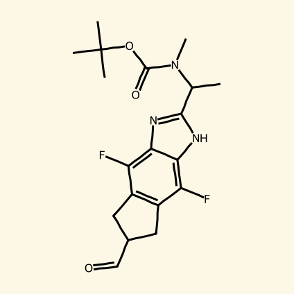 CC(c1nc2c(F)c3c(c(F)c2[nH]1)CC(C=O)C3)N(C)C(=O)OC(C)(C)C